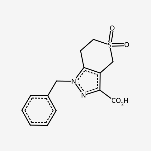 O=C(O)c1nn(Cc2ccccc2)c2c1CS(=O)(=O)CC2